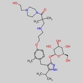 Cc1cc(OCCCNCC(C)(C)C(=O)N2CCN(CCO)CC2)ccc1Cc1c(O[C@@H]2O[C@H](CO)[C@@H](O)[C@H](O)[C@H]2O)n[nH]c1C(C)C